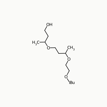 CCC(C)OCCOC(C)CCOC(C)CCO